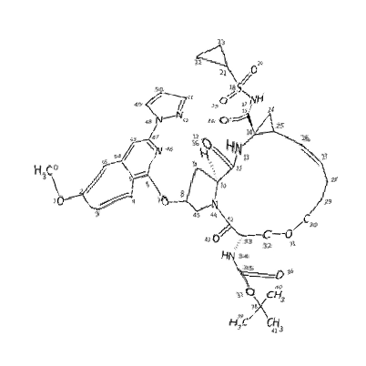 COc1ccc2c(OC3C[C@H]4C(=O)N[C@]5(C(=O)NS(=O)(=O)C6CC6)CC5/C=C\CCCOC[C@H](NC(=O)OC(C)(C)C)C(=O)N4C3)nc(-n3cccn3)cc2c1